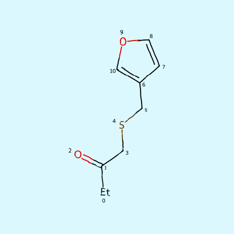 CCC(=O)CSCc1ccoc1